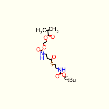 C=C(C)C(=O)OCCOC(=O)NCCC(=O)SCCNC(=O)OCC(C)(C)C